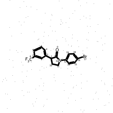 O=C1C(c2cccc(C(F)(F)F)c2)CCN1c1ccc(Br)cc1